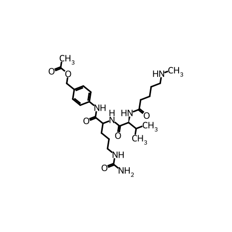 CNCCCCC(=O)N[C@H](C(=O)NC(CCCNC(N)=O)C(=O)Nc1ccc(COC(C)=O)cc1)C(C)C